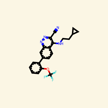 N#Cc1nnc2cc(-c3ccccc3OC(F)(F)F)ccc2c1NCCC1CC1